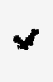 COC(=O)COc1ccc2c(c1)CCN(CC(NC(=O)OCc1ccccc1)C(=O)O)C2=O